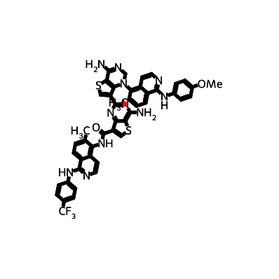 COc1ccc(Nc2nccc3c(N4CN=C(N)c5scc(-c6nc(N)c7scc(C(=O)Nc8c(C)ccc9c(Nc%10ccc(C(F)(F)F)cc%10)nccc89)c7n6)c54)c(C)ccc23)cc1